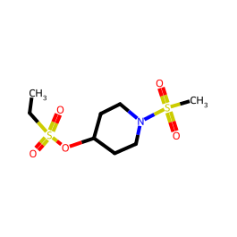 CCS(=O)(=O)OC1CCN(S(C)(=O)=O)CC1